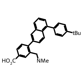 CNCc1cc(C(=O)O)ccc1-c1ccc2c(-c3ccc(C(C)(C)C)cc3)cccc2c1